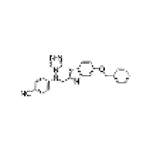 N#Cc1ccc(N(Cc2nc3cc(OCc4ccccc4)ccc3s2)n2cnnc2)cc1